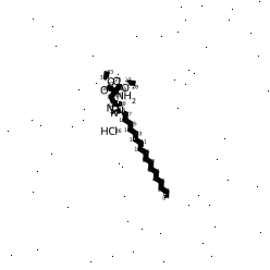 CCCCCCCCCCCCCCCCCCn1cc(CC(N)(C(=O)OCC)C(=O)OCC)nn1.Cl